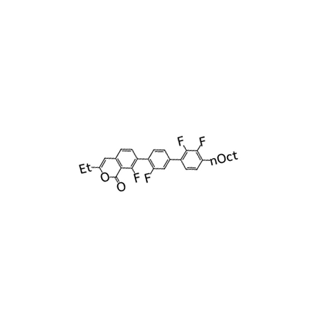 CCCCCCCCc1ccc(-c2ccc(-c3ccc4cc(CC)oc(=O)c4c3F)c(F)c2)c(F)c1F